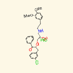 COc1ccc(CCNCC(O)COC(Cc2cccc(Cl)c2)C(=O)c2ccccc2)cc1OC.Cl